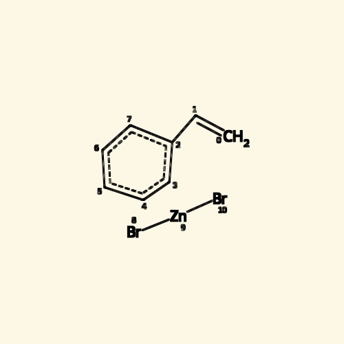 C=Cc1ccccc1.[Br][Zn][Br]